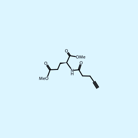 C#CCCC(=O)N[C@@H](CCC(=O)OC)C(=O)OC